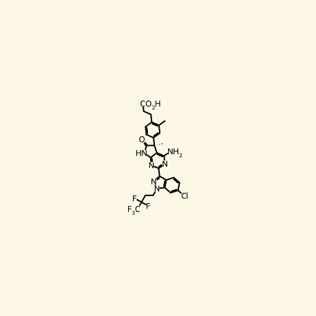 Cc1cc([C@]2(C)C(=O)Nc3nc(-c4nn(CCC(F)(F)C(F)(F)F)c5cc(Cl)ccc45)nc(N)c32)ccc1CCC(=O)O